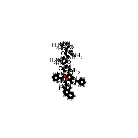 N=C(N)NC(NC(=O)C(NC(=N)N)NC(=O)C(NC(=N)N)NC(=O)C(NC(=N)N)NC(=O)C(NC(=O)C(O)N(Cc1c(O)ccc2ccccc12)c1nc(-c2ccccc2)nc2ccccc12)c1ccccc1)C(N)=O